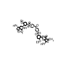 CCCc1nn(C)c2c(=O)[nH]c(-c3cc(S(=O)(=O)N4CCN(C(=O)N5CCN(S(=O)(=O)c6ccc(OCC)c(-c7nc8c(CCC)nn(C)c8c(=O)[nH]7)c6)CC5)CC4)ccc3OCC)cc12